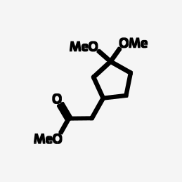 COC(=O)CC1CCC(OC)(OC)C1